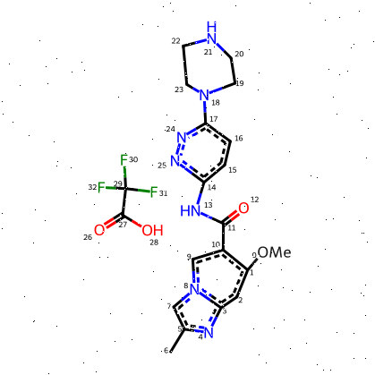 COc1cc2nc(C)cn2cc1C(=O)Nc1ccc(N2CCNCC2)nn1.O=C(O)C(F)(F)F